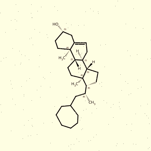 C[C@H](CC1CCCCCC1)[C@H]1CC[C@H]2[C@@H]3CC=C4C[C@@H](O)CC[C@]4(C)[C@H]3CC[C@]12C